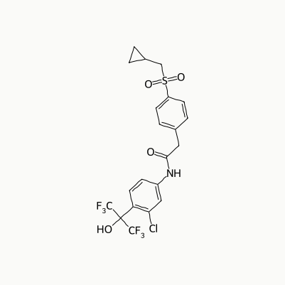 O=C(Cc1ccc(S(=O)(=O)CC2CC2)cc1)Nc1ccc(C(O)(C(F)(F)F)C(F)(F)F)c(Cl)c1